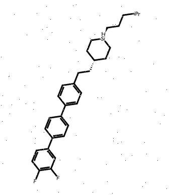 CC(C)CCC[Si@H]1CC[C@H](CCc2ccc(-c3ccc(-c4ccc(F)c(F)c4)cc3)cc2)CC1